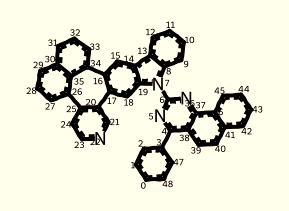 c1ccc(-c2nc(-n3c4ccccc4c4cc5c(cc43)-c3cnccc3-c3cccc4cccc-5c34)nc3c2ccc2ccccc23)cc1